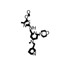 Cc1nc(NCc2cc(N(C)Cc3cccnc3)cc(N3CCOCC3)n2)sc1OC=O